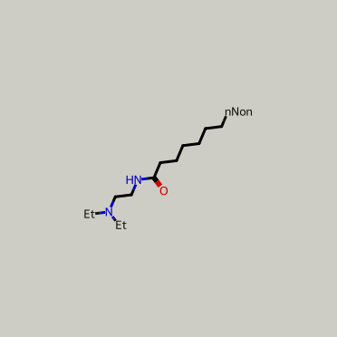 CCCCCCCCCCCCCCCC(=O)NCCN(CC)CC